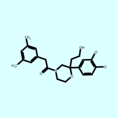 Cc1cc(C)cc(CC(=O)N2CCOC(CCO)(c3ccc(Cl)c(Cl)c3)C2)c1